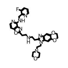 Fc1cccnc1CNc1nccc2oc(CCNCCc3nc4cc5c(cc4n3CCN3CCOCC3)OCCO5)nc12